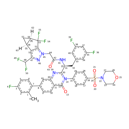 Cc1cc(F)ccc1-c1ccc2c(=O)n(-c3ccc(S(=O)(=O)N4CCOCC4)cc3)c([C@H](Cc3cc(F)cc(F)c3)NC(=O)Cn3nc(C(F)F)c4c3C(F)(F)[C@@H]3C[C@H]43)nc2c1